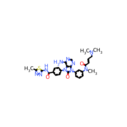 Cc1nnc(NC(=O)c2ccc(-n3c(=O)n(-c4cccc(N(C)C(=O)C=CCN(C)C)c4)c4ncnc(N)c43)cc2)s1